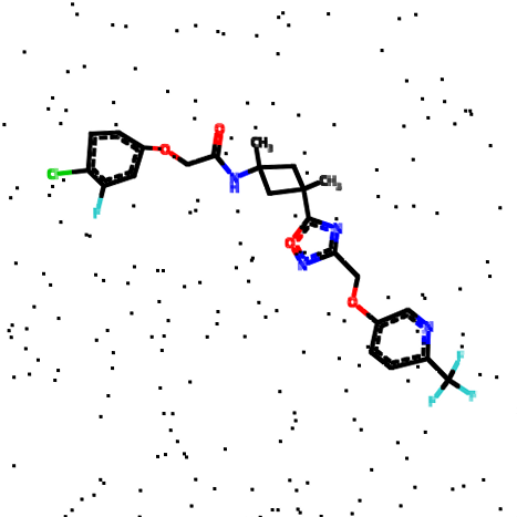 CC1(NC(=O)COc2ccc(Cl)c(F)c2)CC(C)(c2nc(COc3ccc(C(F)(F)F)nc3)no2)C1